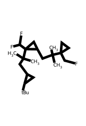 CC(C)(C)C1CC1CC(C)(C)C1(C(F)F)CC1CC(C)(C)C1(CF)CC1